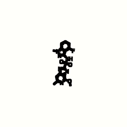 COc1nc(C)cc2nc(S(=O)(=O)Nc3nn(C)c4cccc(F)c34)nn12